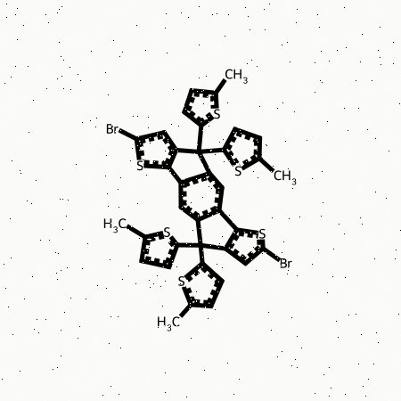 Cc1ccc(C2(c3ccc(C)s3)c3cc4c(cc3-c3sc(Br)cc32)C(c2ccc(C)s2)(c2ccc(C)s2)c2cc(Br)sc2-4)s1